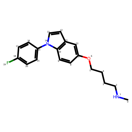 CNCCCCOc1ccc2c(ccn2-c2ccc(F)cc2)c1